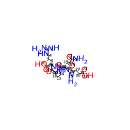 N=C(N)NCCC[C@H](NC(=O)[C@@H]1CCCN1C(=O)[C@H](CCC(N)=O)NC(=O)[C@@H](N)CCC(=O)O)C(=O)O